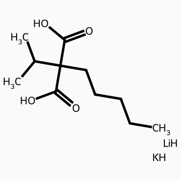 CCCCCC(C(=O)O)(C(=O)O)C(C)C.[KH].[LiH]